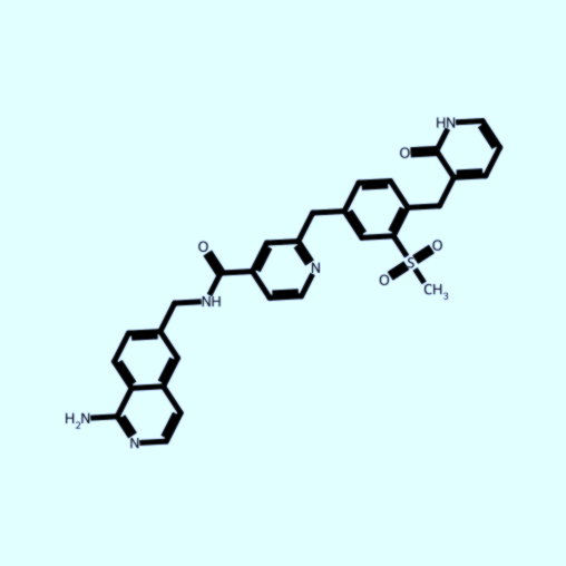 CS(=O)(=O)c1cc(Cc2cc(C(=O)NCc3ccc4c(N)nccc4c3)ccn2)ccc1Cc1ccc[nH]c1=O